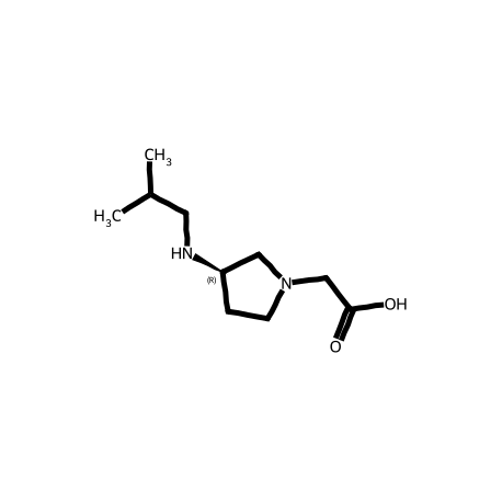 CC(C)CN[C@@H]1CCN(CC(=O)O)C1